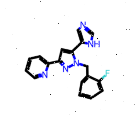 Fc1ccccc1Cn1nc(-c2ccccn2)cc1-c1cnc[nH]1